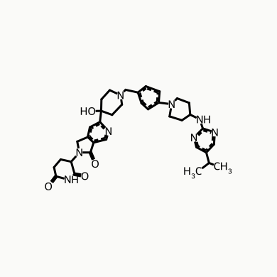 CC(C)c1cnc(NC2CCN(c3ccc(CN4CCC(O)(c5cc6c(cn5)C(=O)N(C5CCC(=O)NC5=O)C6)CC4)cc3)CC2)nc1